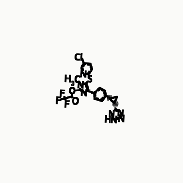 CN1C(OC(=O)C(F)(F)F)=[N+]C(c2ccc([C@H]3C[C@@H]3c3nn[nH]n3)cc2)=C1Sc1ccc(Cl)cn1